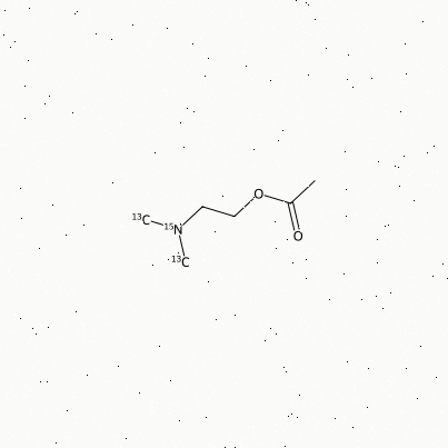 CC(=O)OCC[15N]([13CH3])[13CH3]